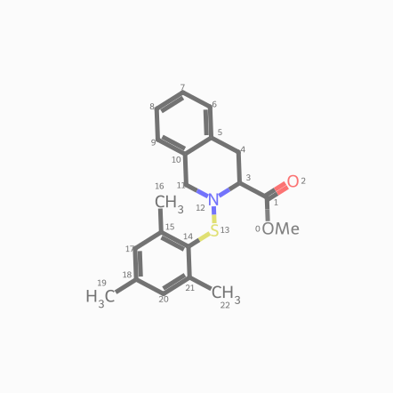 COC(=O)C1Cc2ccccc2CN1Sc1c(C)cc(C)cc1C